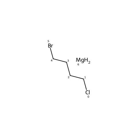 ClCCCCBr.[MgH2]